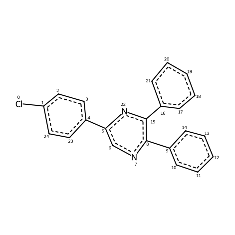 Clc1ccc(-c2cnc(-c3ccccc3)c(-c3ccccc3)n2)cc1